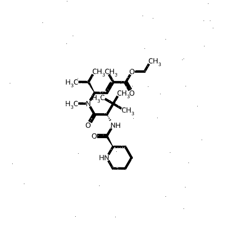 CCOC(=O)/C(C)=C/[C@H](C(C)C)N(C)C(=O)[C@@H](NC(=O)[C@H]1CCCCN1)C(C)(C)C